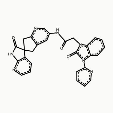 O=C(Cn1c(=O)n(-c2ccccn2)c2ccccc21)Nc1cnc2c(c1)CC1(C2)C(=O)Nc2ncccc21